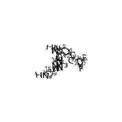 CC(Oc1ccc2[nH]nc(-c3cnn(C4CCNCC4)c3)c2c1)c1cc(F)cc(F)c1